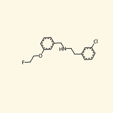 FCCOc1cccc(CNCCc2cccc(Cl)c2)c1